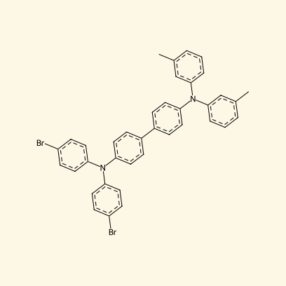 Cc1cccc(N(c2ccc(-c3ccc(N(c4ccc(Br)cc4)c4ccc(Br)cc4)cc3)cc2)c2cccc(C)c2)c1